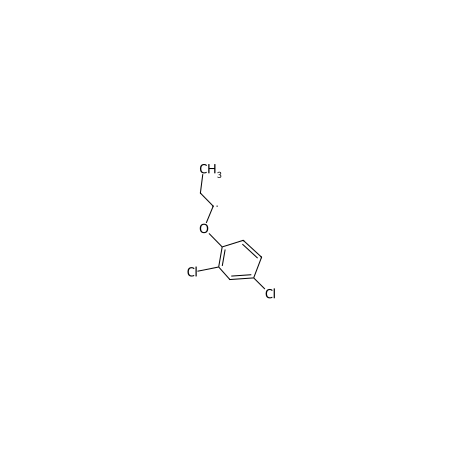 CC[CH]Oc1ccc(Cl)cc1Cl